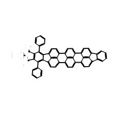 CN1C(=O)c2c(c(-c3ccccc3)c3c(c2-c2ccccc2)-c2ccc4c5ccc6c7ccc8c9c(ccc(c%10ccc(c%11ccc-3c2c4%11)c5c6%10)c97)-c2ccccc2-8)C1=O